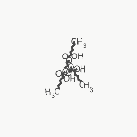 CCCCCC(O)C(=O)OCC(COC(=O)C(O)CCCCC)OC(=O)C(O)CCCCC